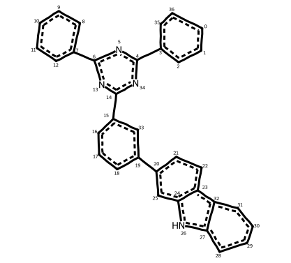 c1ccc(-c2nc(-c3ccccc3)nc(-c3cccc(-c4ccc5c(c4)[nH]c4ccccc45)c3)n2)cc1